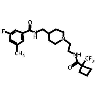 Cc1cc(F)cc(C(=O)NCC2CCN(CCNC(=O)C3(C(F)(F)F)CCC3)CC2)c1